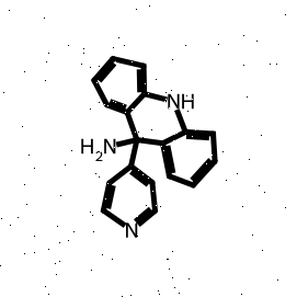 NC1(c2ccncc2)c2ccccc2Nc2ccccc21